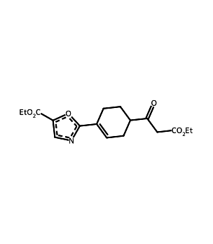 CCOC(=O)CC(=O)C1CC=C(c2ncc(C(=O)OCC)o2)CC1